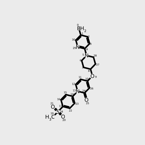 Bc1ccc(N2CCC(Oc3ccn(-c4ccc(S(C)(=O)=O)cc4)c(=O)c3)CC2)nc1